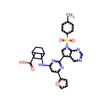 Cc1ccc(S(=O)(=O)n2cc(-c3nc(NC4C5CCC(CC5)C4C(=O)O)cc(-c4ccco4)n3)c3cncnc32)cc1